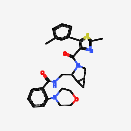 Cc1cccc(-c2sc(C)nc2C(=O)N2CC3CC3C2CNC(=O)c2ccccc2N2CCOCC2)c1